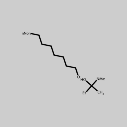 CCC(C)(O)NC.CCCCCCCCCCCCCCCC[O]